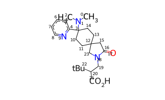 CN(C)C1(c2ccccn2)CCC2(CC1)CC(=O)N(CC(C(=O)O)C(C)(C)C)C2